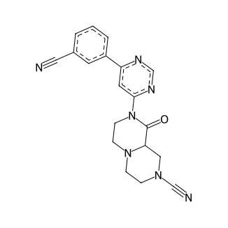 N#Cc1cccc(-c2cc(N3CCN4CCN(C#N)CC4C3=O)ncn2)c1